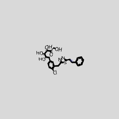 OC[C@H]1OC(c2ccc(Cl)c(Cc3nnc(/C=C/c4ccccc4)s3)c2)[C@H](O)[C@@H](O)[C@@H]1O